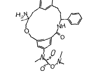 CN(C)OS(=O)(=O)N(C)c1cc2cc(c1)C(=O)NC(c1ccccc1)CCc1cccc(c1)CC(C)(N)COC2